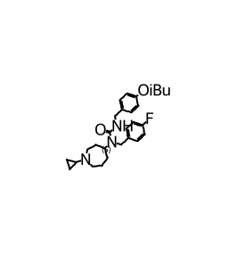 CC(C)COc1ccc(CNC(=O)N(Cc2ccc(F)cc2)[C@H]2CCCN(C3CC3)CC2)cc1